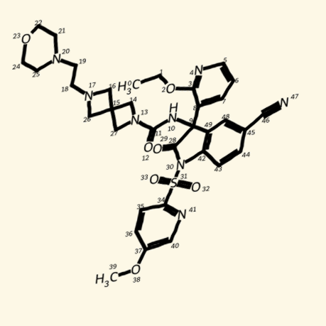 CCOc1ncccc1C1(NC(=O)N2CC3(CN(CCN4CCOCC4)C3)C2)C(=O)N(S(=O)(=O)c2ccc(OC)cn2)c2ccc(C#N)cc21